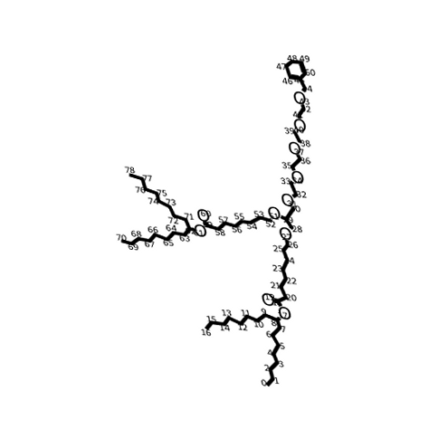 CCCCCCCCC(CCCCCCCC)OC(=O)CCCCCCCOCC(COCCOCCOCCOCCOCC1=CCCC=C1)OCCCCCCCC(=O)OC(CCCCCCCC)CCCCCCCC